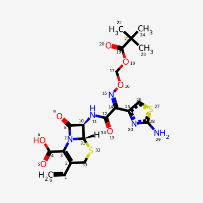 C=CC1=C(C(=O)O)N2C(=O)[C@@H](NC(=O)C(=NOCOC(=O)C(C)(C)C)c3csc(N)n3)[C@@H]2SC1